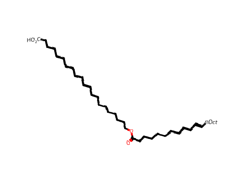 CCCCCCCCC=CCCCCCCCCCC(=O)OCCCCCCCCCCCCCCCCCCCCC(=O)O